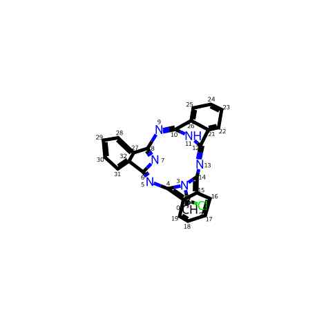 CB(Cl)n1c2nc3nc(nc4[nH]c(nc1c1ccccc12)c1ccccc41)-c1ccccc1-3